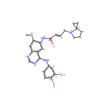 COc1cc2ncnc(Nc3ccc(F)c(Cl)c3)c2cc1NC(=O)C=CCN1CCCC12CC2